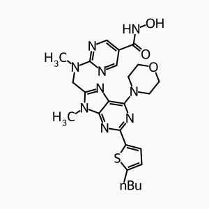 CCCCc1ccc(-c2nc(N3CCOCC3)c3nc(CN(C)c4ncc(C(=O)NO)cn4)n(C)c3n2)s1